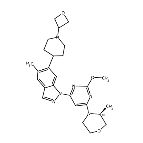 COc1nc(N2CCOC[C@@H]2C)cc(-n2ncc3cc(C)c(C4CCN(C5COC5)CC4)cc32)n1